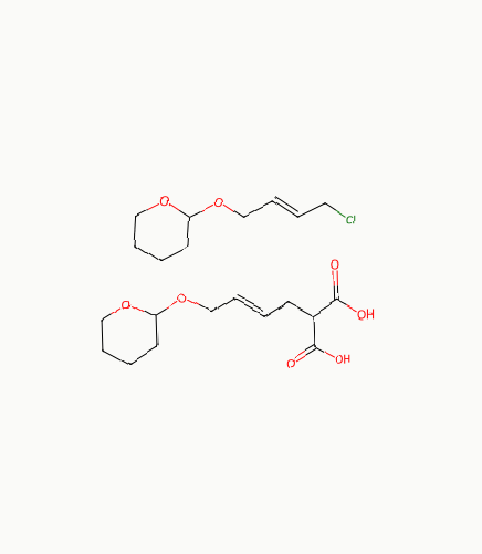 ClCC=CCOC1CCCCO1.O=C(O)C(CC=CCOC1CCCCO1)C(=O)O